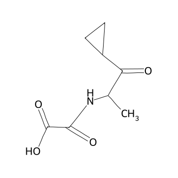 CC(NC(=O)C(=O)O)C(=O)C1CC1